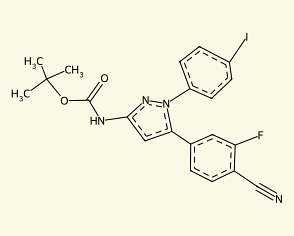 CC(C)(C)OC(=O)Nc1cc(-c2ccc(C#N)c(F)c2)n(-c2ccc(I)cc2)n1